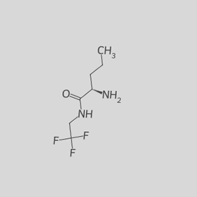 CCC[C@@H](N)C(=O)NCC(F)(F)F